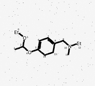 CCOC(C)OC1=CC=C(CN(C)CC)CC1